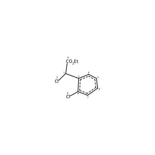 CCOC(=O)C(Cl)c1ccccc1Cl